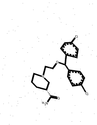 NC(=O)[C@@H]1CCCN(CCOC(c2ccc(Cl)cc2)c2ccc(Cl)cc2)C1